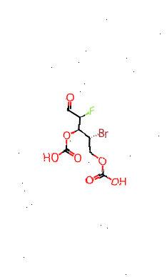 O=C[C@@H](F)[C@H](OC(=O)O)[C@H](Br)COC(=O)O